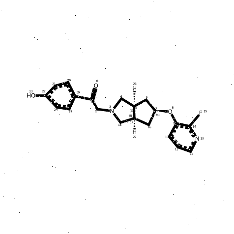 O=C(CN1C[C@H]2C[C@@H](Oc3cccnc3F)C[C@H]2C1)c1ccc(O)cc1